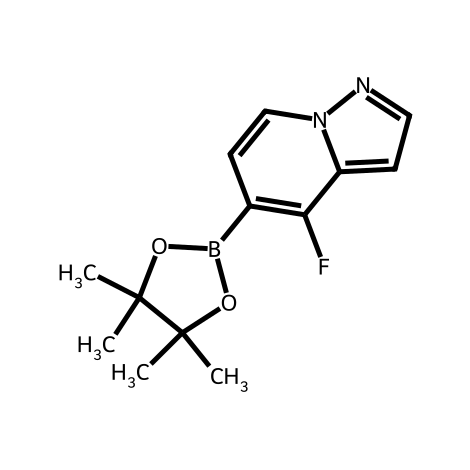 CC1(C)OB(c2ccn3nccc3c2F)OC1(C)C